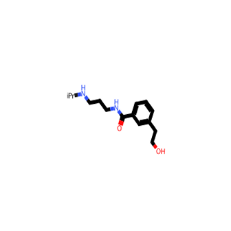 CC(C)NCCCNC(=O)c1cccc(CCO)c1